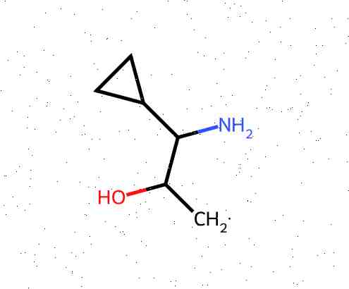 [CH2]C(O)C(N)C1CC1